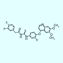 COc1cc2nccc(Oc3ccc(NC(=S)NC(=O)Cc4ccc(F)c(F)c4)cc3F)c2cc1OC